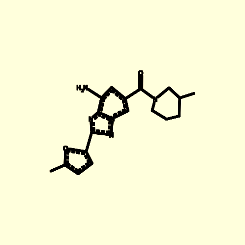 Cc1ccc(-c2nc3c(N)cc(C(=O)N4CCCC(C)C4)cn3n2)o1